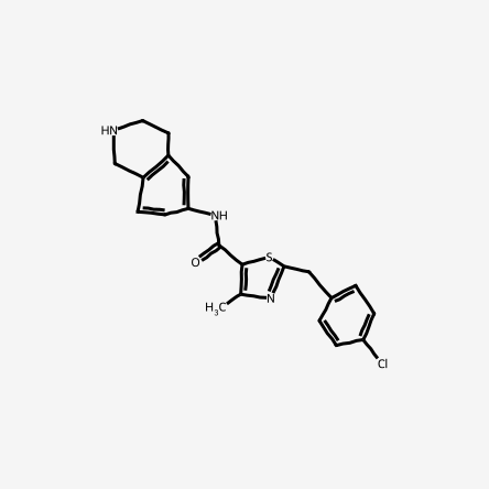 Cc1nc(Cc2ccc(Cl)cc2)sc1C(=O)Nc1ccc2c(c1)CCNC2